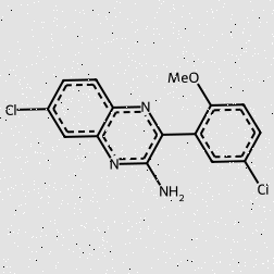 COc1ccc(Cl)cc1-c1nc2ccc(Cl)cc2nc1N